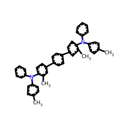 Cc1ccc(N(c2ccccc2)c2ccc(-c3ccc(-c4ccc(N(c5ccccc5)c5ccc(C)cc5)c(C)c4)cc3)cc2C)cc1